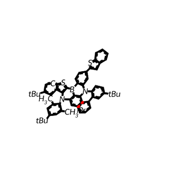 Cc1cc(C(C)(C)C)cc(C)c1N1c2cc(C(C)C)cc3c2B(c2ccc(-c4cc5ccccc5s4)cc2N3c2ccc(C(C)(C)C)cc2-c2ccccc2)c2sc3ccc(C(C)(C)C)cc3c21